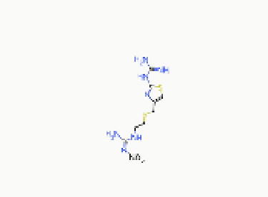 N=C(N)Nc1nc(CSCCN/C(N)=N\[N+](=O)[O-])cs1